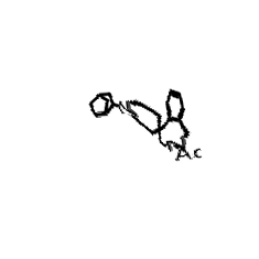 CC(=O)N1Cc2ccccc2C2(CCN(C3CC4CCC3C4)CC2)C1